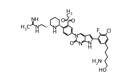 CC(=N)NCC[C@@H]1CCC[C@@H](c2ccc(-n3cc4cc(-c5cc(CCC[C@@H](N)CO)cc(Cl)c5F)[nH]c4nc3=O)cc2S(C)(=O)=O)N1